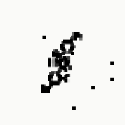 CC(C)c1ccc(S(=O)(=O)NC(=O)c2ccc(Br)cc2Cl)cc1